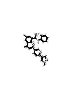 Cc1cc(C(C)Nc2ccccc2C=O)c2oc(-c3ccc(-c4cnn(C)c4)nc3)cc(=O)c2c1